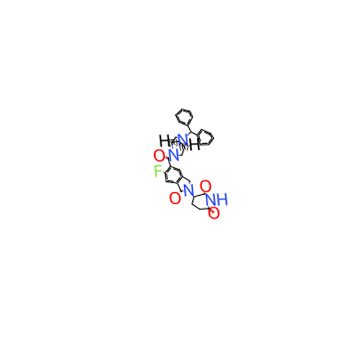 O=C1CCC(N2Cc3cc(C(=O)N4C[C@H]5C[C@@H]4CN5C(c4ccccc4)c4ccccc4)c(F)cc3C2=O)C(=O)N1